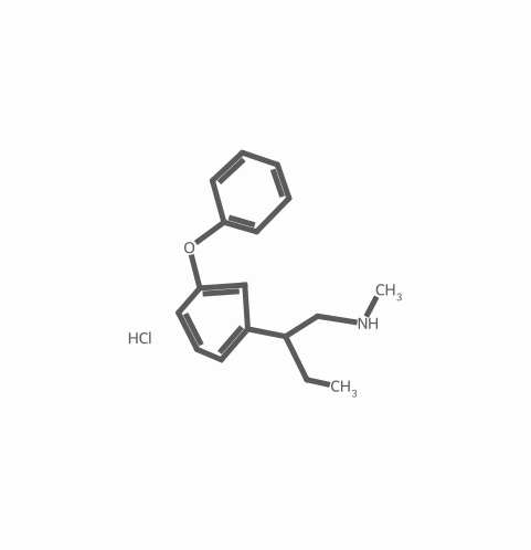 CCC(CNC)c1cccc(Oc2ccccc2)c1.Cl